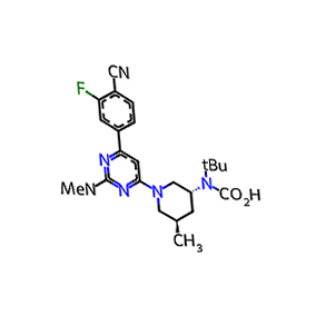 CNc1nc(-c2ccc(C#N)c(F)c2)cc(N2C[C@H](C)C[C@@H](N(C(=O)O)C(C)(C)C)C2)n1